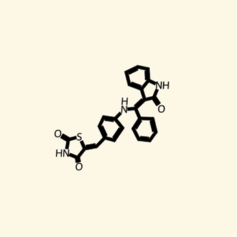 O=C1NC(=O)/C(=C/c2ccc(NC(=C3C(=O)Nc4ccccc43)c3ccccc3)cc2)S1